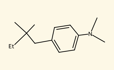 CCC(C)(C)Cc1ccc(N(C)C)cc1